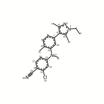 CCn1nc(C)c(-c2ccc(C)c(N(C)c3ccc(C#N)c(Cl)c3)c2)c1C